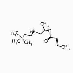 CC=CC(=O)OC(C)CPCC[N+](C)(C)C